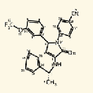 C[C@@H](NC1=CC(c2cccc(OC(F)(F)F)c2)N(c2ccc(C#N)cc2)C1=O)c1ccccc1